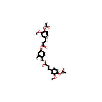 COc1cc(/C=C/C(=O)OCc2ccc(OC(=O)/C=C/c3ccc(OC(C)=O)c(OC)c3)cc2C)ccc1OC(C)=O